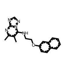 Cc1nc2ncnn2c(NCCOc2ccc3ccccc3c2)c1C